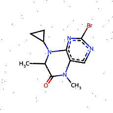 CC1C(=O)N(C)c2cnc(Br)nc2N1C1CC1